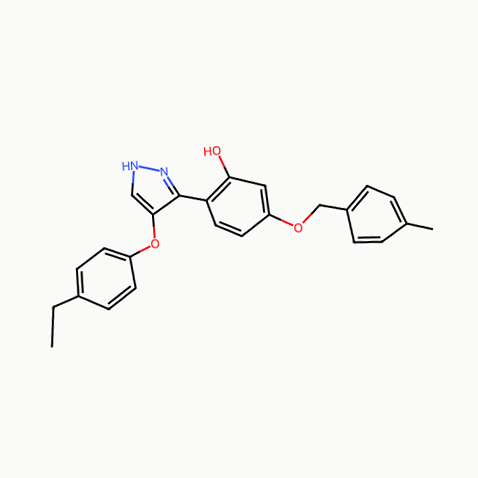 CCc1ccc(Oc2c[nH]nc2-c2ccc(OCc3ccc(C)cc3)cc2O)cc1